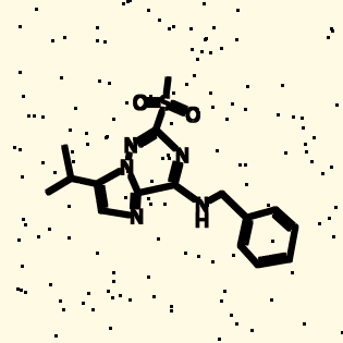 CC(C)c1cnc2c(NCc3ccccc3)nc(S(C)(=O)=O)nn12